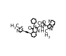 Cc1ncc(C#Cc2cccc3nc([C@H](C)NC(=O)c4c(C)nn5cccnc45)n(-c4ccccc4)c(=O)c23)s1